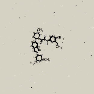 CCc1cc(NC(=O)C(=O)N2C[C@@H](C)CC[C@@H]2c2ccc3cn(C4CC(C)CN(C)C4)nc3c2)cnc1N